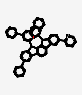 c1ccc(-c2cc(-c3ccccc3)nc(C3c4ccc(-c5ccccc5)cc4-c4ccc5c(c43)C(c3ccccc3)c3ccc(-c4ccccn4)cc3-5)c2)cc1